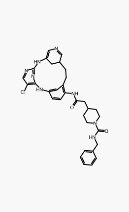 O=C(CC1CCN(C(=O)NCc2ccccc2)CC1)Nc1ccc2cc1CCC1C=NC=C(C1)Nc1ncc(Cl)c(n1)N2